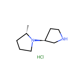 C[C@H]1CCCN1[C@H]1CCNC1.Cl